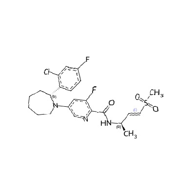 C[C@H](/C=C/S(C)(=O)=O)NC(=O)c1ncc(N2CCCCC[C@@H]2c2ccc(F)cc2Cl)cc1F